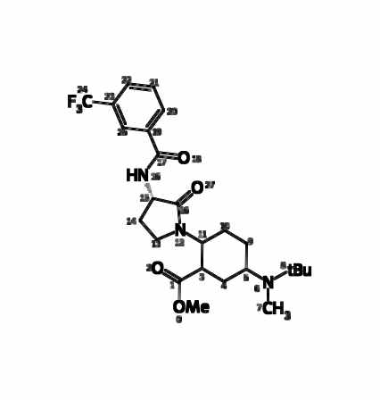 COC(=O)C1CC(N(C)C(C)(C)C)CCC1N1CC[C@H](NC(=O)c2cccc(C(F)(F)F)c2)C1=O